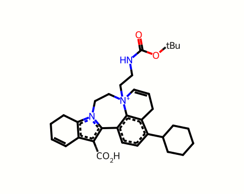 CC(C)(C)OC(=O)NCC[N+]12C=CCc3c(C4CCCCC4)ccc(c31)-c1c(C(=O)O)c3c(n1CC2)CCC=C3